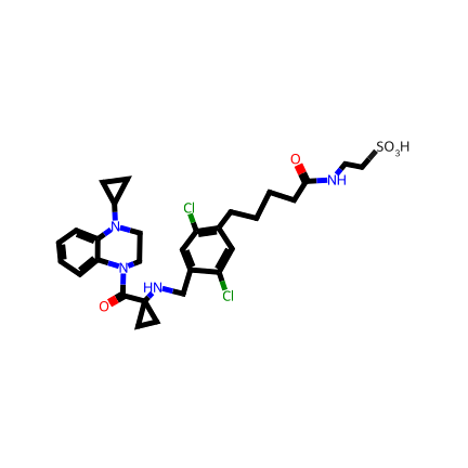 O=C(CCCCc1cc(Cl)c(CNC2(C(=O)N3CCN(C4CC4)c4ccccc43)CC2)cc1Cl)NCCS(=O)(=O)O